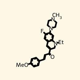 CCN1CC(C(=O)C=Cc2ccc(OC)cc2)=Cc2cc(F)c(N3CCN(C)CC3)cc21